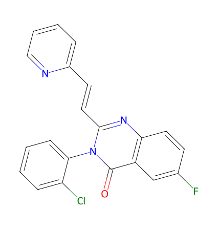 O=c1c2cc(F)ccc2nc(C=Cc2ccccn2)n1-c1ccccc1Cl